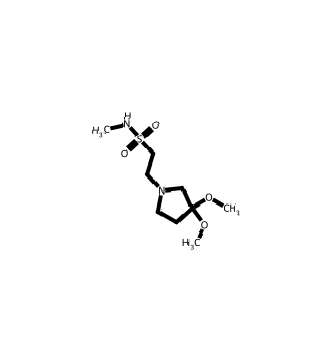 CNS(=O)(=O)CCN1CCC(OC)(OC)C1